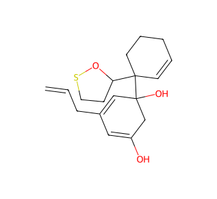 C=CCC1=CC(O)(C2(C3CCSO3)C=CCCC2)CC(O)=C1